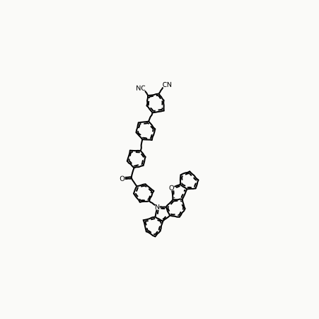 N#Cc1ccc(-c2ccc(-c3ccc(C(=O)c4ccc(-n5c6ccccc6c6ccc7c8ccccc8oc7c65)cc4)cc3)cc2)cc1C#N